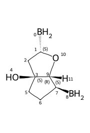 B[C@H]1C[C@@]2(O)CC[C@H](B)[C@H]2O1